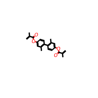 C=C(C)C(=O)Oc1ccc(-c2ccc(OC(=O)C(=C)C)cc2C)c(C)c1